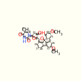 COc1ccc(C(OC[C@H]2O[C@@H](n3cc(C)c(=O)[nH]c3=O)C[C@@H]2O)(c2ccccc2)c2ccc(OC)cc2)cc1